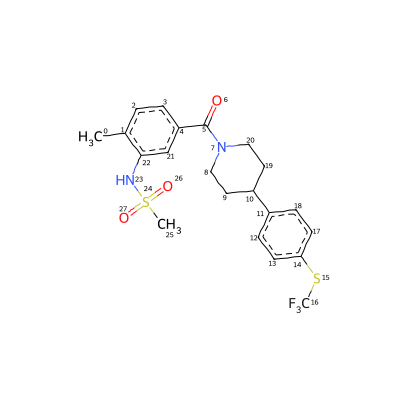 Cc1ccc(C(=O)N2CCC(c3ccc(SC(F)(F)F)cc3)CC2)cc1NS(C)(=O)=O